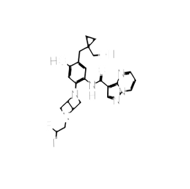 O=C(Nc1cc(CC2(CO)CC2)c(O)cc1N1CC2C1CN2CC(F)F)c1cnn2cccnc12